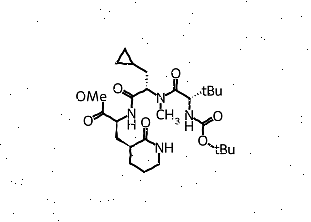 COC(=O)[C@H](C[C@@H]1CCCNC1=O)NC(=O)[C@H](CC1CC1)N(C)C(=O)[C@@H](NC(=O)OC(C)(C)C)C(C)(C)C